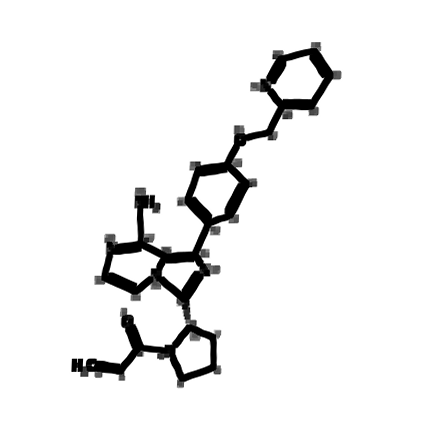 C=CC(=O)N1CCC[C@H]1c1nc(-c2ccc(OCc3ccccn3)cc2)c2c(N)nccn12